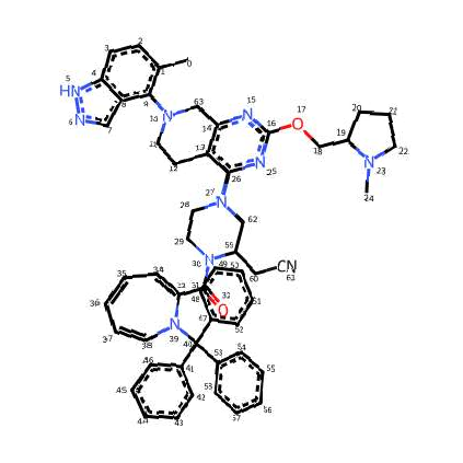 Cc1ccc2[nH]ncc2c1N1CCc2c(nc(OCC3CCCN3C)nc2N2CCN(C(=O)C3=CC=CC=CN3C(c3ccccc3)(c3ccccc3)c3ccccc3)C(CC#N)C2)C1